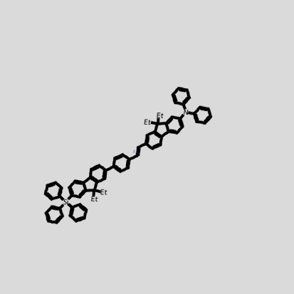 CCC1(CC)c2cc(/C=C/c3ccc(-c4ccc5c(c4)C(CC)(CC)c4cc([Si](c6ccccc6)(c6ccccc6)c6ccccc6)ccc4-5)cc3)ccc2-c2ccc(N(c3ccccc3)c3ccccc3)cc21